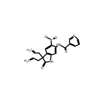 C=CCC1(CC=C)C(=O)Nc2cc(NC(=O)c3cccnc3)c([N+](=O)[O-])cc21